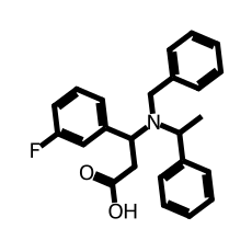 CC(c1ccccc1)N(Cc1ccccc1)C(CC(=O)O)c1cccc(F)c1